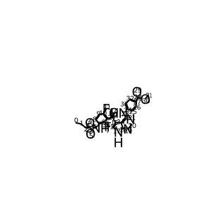 CCCS(=O)(=O)Nc1ccc(F)c(C(=O)c2c[nH]c3ncnc(Nc4ccc(C(=O)OC)cc4)c23)c1F